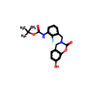 CC(C)(C)OC(=O)Nc1cccc(CN2Cc3ccc(O)cc3OC2=O)c1F